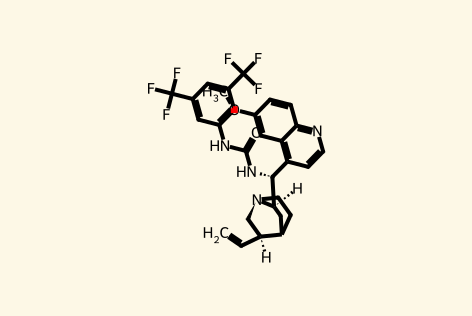 C=C[C@H]1C[N@@]2CCC1C[C@@H]2[C@H](NC(=O)Nc1cc(C(F)(F)F)cc(C(F)(F)F)c1)c1ccnc2ccc(OC)cc12